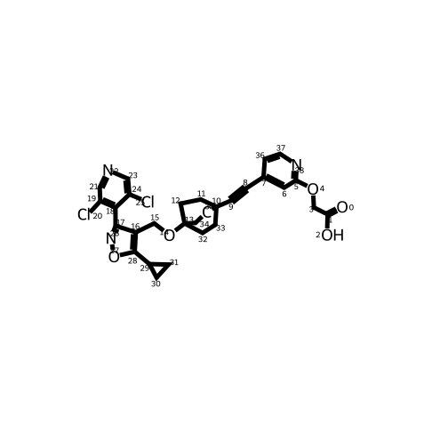 O=C(O)COc1cc(C#CC23CCC(OCc4c(-c5c(Cl)cncc5Cl)noc4C4CC4)(CC2)CC3)ccn1